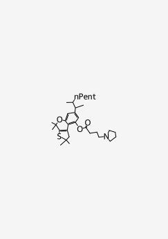 CCCCCC(C)C(C)c1cc(OC(=O)CCCN2CCCC2)c2c(c1)OC(C)(C)C1=C2CC(C)(C)S1